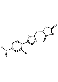 O=C1NC(=S)SC1=Cc1ccc(-c2ccc([N+](=O)[O-])cc2Br)o1